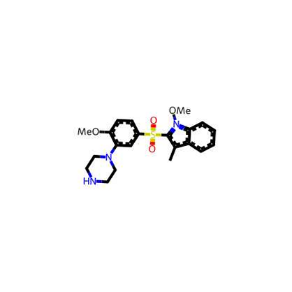 COc1ccc(S(=O)(=O)c2c(C)c3ccccc3n2OC)cc1N1CCNCC1